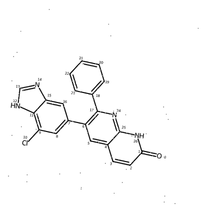 O=c1ccc2cc(-c3cc(Cl)c4[nH]cnc4c3)c(-c3ccccc3)nc2[nH]1